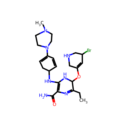 CCC1=NC(C(N)=O)=C(NC2C=CC(N3CCN(C)CC3)=CC2)NC1OC1=CC(Br)CNC1